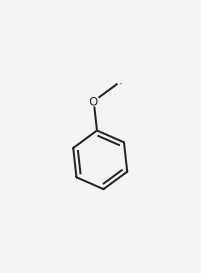 [CH2]Oc1ccccc1